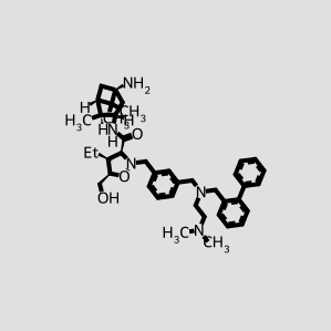 CC[C@@H]1[C@H](CO)ON(Cc2cccc(CN(CCN(C)C)Cc3ccccc3-c3ccccc3)c2)[C@@H]1C(=O)N[C@H]1C[C@@]2(N)C[C@@H]([C@@H]1C)C2(C)C